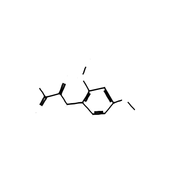 COc1ccc(CC(=S)C(=O)O)c(OC)c1